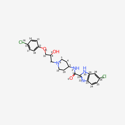 O=C(NC1CCN(CC(O)COc2ccc(Cl)cc2)CC1)c1nc2ccc(Cl)cc2[nH]1